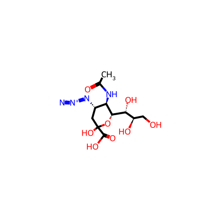 CC(=O)N[C@H]1[C@H]([C@H](O)[C@H](O)CO)OC(O)(C(=O)O)C[C@@H]1N=[N+]=[N-]